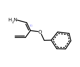 C=C/C(=C\N)OCc1ccccc1